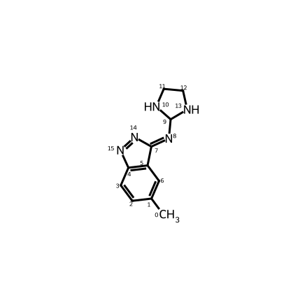 Cc1ccc2c(c1)C(=NC1NCCN1)N=N2